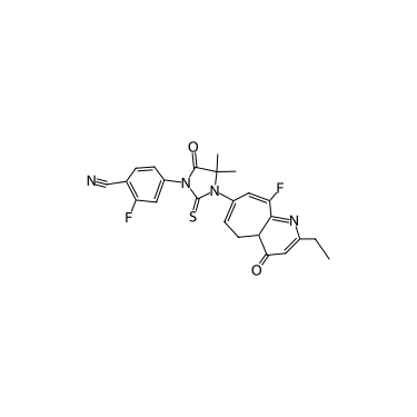 CCC1=CC(=O)C2CC=C(N3C(=S)N(c4ccc(C#N)c(F)c4)C(=O)C3(C)C)C=C(F)C2=N1